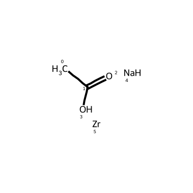 CC(=O)O.[NaH].[Zr]